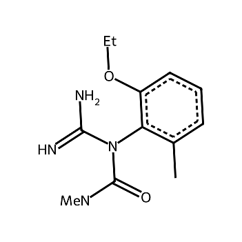 CCOc1cccc(C)c1N(C(=N)N)C(=O)NC